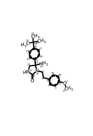 COc1ccc(CCN2C(=O)NCC2(N)c2ccc(C(C)(C)C)cc2)cc1